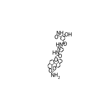 NC(=O)COc1ccc2ccccc2c1-c1c(OCC(=O)Nc2cccc(NC(=O)c3cc(O)cc(C(N)=O)c3)n2)ccc2ccccc12